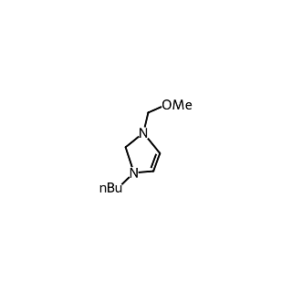 CCCCN1C=CN(COC)C1